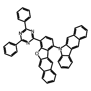 c1ccc(-c2nc(-c3ccccc3)nc(-c3ccc(-n4c5ccccc5c5cc6ccccc6cc54)c4c3oc3cc5ccccc5cc34)n2)cc1